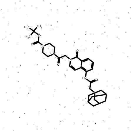 CC(C)(C)OC(=O)N1CCN(C(=O)Cn2ccc3c(NC(=O)CC45CC6CC(CC(C6)C4)C5)cccc3c2=O)CC1